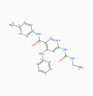 CCNC(=O)Nc1cc(Nc2ccccc2)c(C(=O)Nc2ccc(C)nc2)cn1